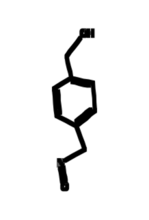 O=NCc1ccc(CO)cc1